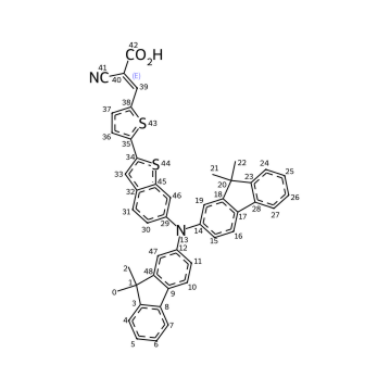 CC1(C)c2ccccc2-c2ccc(N(c3ccc4c(c3)C(C)(C)c3ccccc3-4)c3ccc4cc(-c5ccc(/C=C(\C#N)C(=O)O)s5)sc4c3)cc21